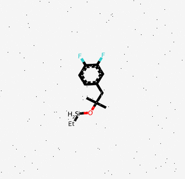 CC[SiH2]OC(C)(C)Cc1ccc(F)c(F)c1